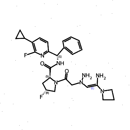 N/C(=C\N(N)CC(=O)N1C[C@H](F)C[C@H]1C(=O)N[C@@H](c1ccccc1)c1ccc(C2CC2)c(F)n1)N1CCC1